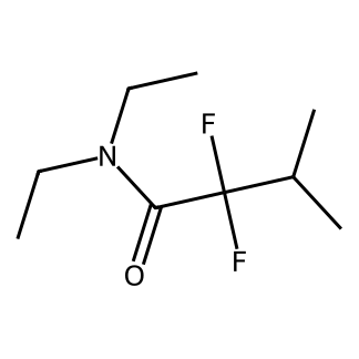 CCN(CC)C(=O)C(F)(F)C(C)C